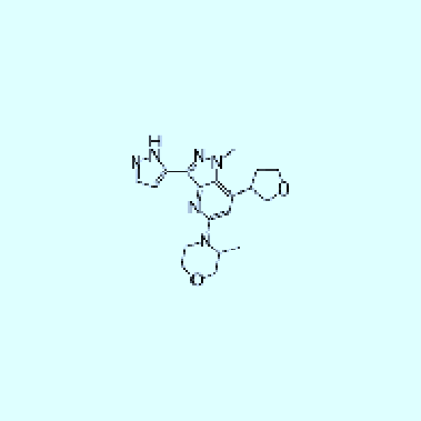 CC1COCCN1c1cc(C2CCOC2)c2c(n1)c(-c1ccn[nH]1)nn2C